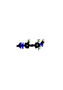 Cc1cnc(-c2ccc(C#Cc3cc(F)c(N=C=S)c(F)c3)c(F)c2)nc1